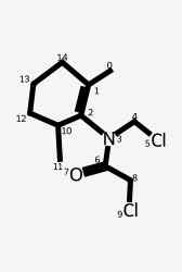 CC1=C(N(CCl)C(=O)CCl)C(C)CCC1